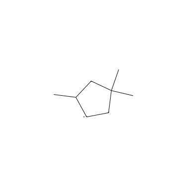 CC1[CH]CC(C)(C)C1